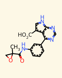 CC1(C(=O)Nc2cccc(-c3ncnc4[nH]cc(C(=O)O)c34)c2)CO1